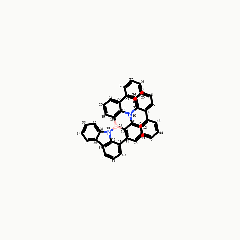 c1ccc(-c2ccccc2N2c3cccc4c3B(c3cccc(-c5ccccc5)c32)n2c3ccccc3c3cccc-4c32)cc1